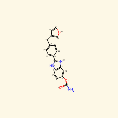 NC(=O)Oc1ccc2[nH]c(-c3ccc(Cc4ccoc4)cc3)nc2c1